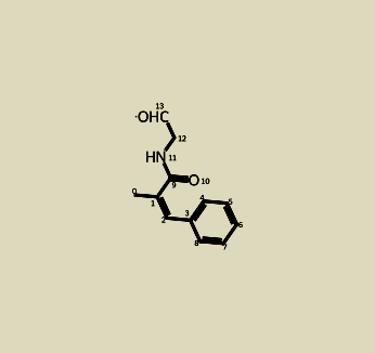 CC(=Cc1ccccc1)C(=O)NC[C]=O